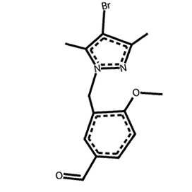 COc1ccc(C=O)cc1Cn1nc(C)c(Br)c1C